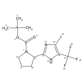 CC(C)(C)OC(=O)N1CCCC1c1nc(I)c(C(F)(F)F)[nH]1